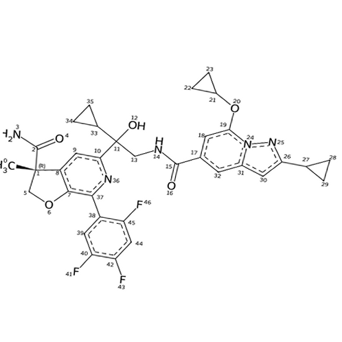 C[C@]1(C(N)=O)COc2c1cc(C(O)(CNC(=O)c1cc(OC3CC3)n3nc(C4CC4)cc3c1)C1CC1)nc2-c1cc(F)c(F)cc1F